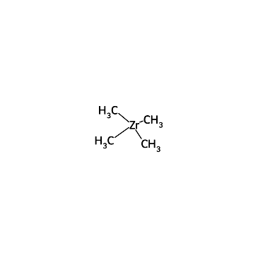 [CH3][Zr]([CH3])([CH3])[CH3]